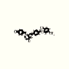 O=c1ncn(Cc2ccc(Cl)cc2)c2cc(-c3ccc(COc4cc(C(F)(F)F)ccc4Cl)cc3)sc12